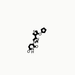 O=C1CCC(n2cc(-c3cscc3OC3CCCC3)nn2)C(=O)N1